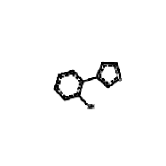 Sc1ccccc1-c1ccsc1